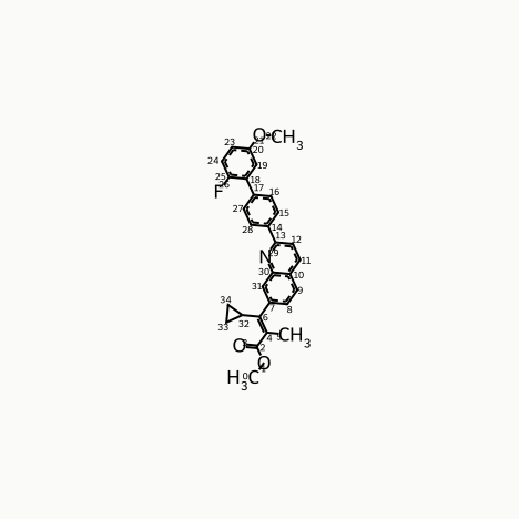 COC(=O)/C(C)=C(/c1ccc2ccc(-c3ccc(-c4cc(OC)ccc4F)cc3)nc2c1)C1CC1